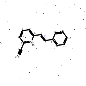 N#Cc1cccc(/C=C/c2ccccc2)n1